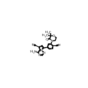 CC1(C)OCCN(c2cc(-c3cc(C#N)c4c(N)ncnn34)ccc2C#N)C1=O